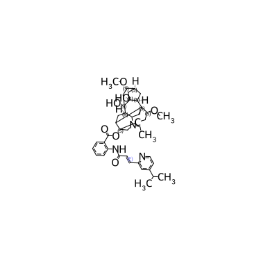 CCN1C[C@]2(OC(=O)c3ccccc3NC(=O)/C=C/c3cc(C(C)C)ccn3)CC[C@H](OC)[C@]34CC1[C@@H](CC23)[C@@]1(O)C[C@H](OC)[C@H]2C[C@@H]4[C@]1(O)C2